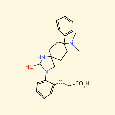 CN(C)[C@]1(c2ccccc2)CC[C@]2(CC1)CN(c1ccccc1OCC(=O)O)C(O)N2